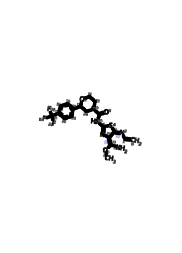 C=C/N=C1/SC(NC(=O)N2CCOC(c3ccc(C(F)(F)F)cc3)C2)=N/C1=C(/N)OC